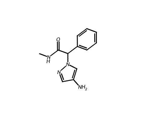 CNC(=O)C(c1ccccc1)n1cc(N)cn1